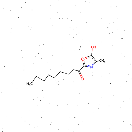 CCCCCCCCC(=O)c1nc(C)c(O)o1